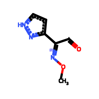 CO/N=C(\[C]=O)c1cc[nH]n1